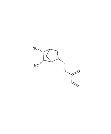 C=CC(=O)OCC1CC2CC1C(C#N)C2C#N